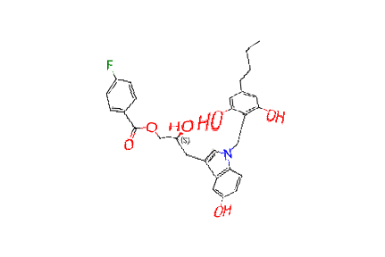 CCCCc1cc(O)c(Cn2cc(C[C@H](O)COC(=O)c3ccc(F)cc3)c3cc(O)ccc32)c(O)c1